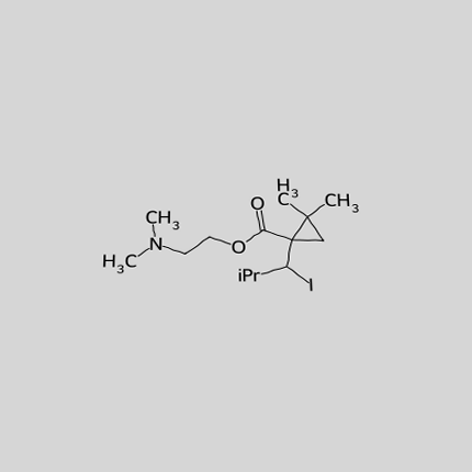 CC(C)C(I)C1(C(=O)OCCN(C)C)CC1(C)C